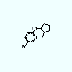 CC1CCCC1Nc1ncc(Br)cn1